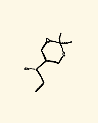 CC[C@H](C)C1COC(C)(C)OC1